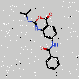 CC(C)Nc1nc2cc(NC(=O)c3ccccc3)ccc2c(=O)o1